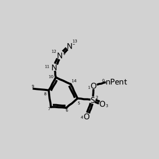 CCCCCOS(=O)(=O)c1ccc(C)c(N=[N+]=[N-])c1